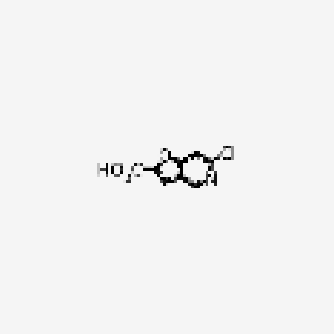 O=C(O)c1cc2cnc(Cl)cc2o1